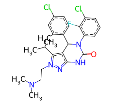 Cc1cc(Cl)ccc1C1c2c(nn(CCN(C)C)c2C(C)C)NC(=O)N1c1cccc(Cl)c1F